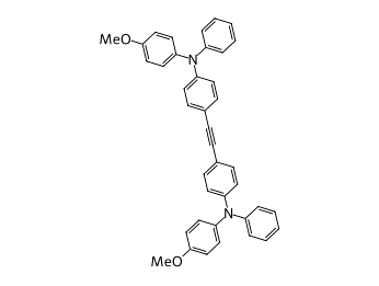 COc1ccc(N(c2ccccc2)c2ccc(C#Cc3ccc(N(c4ccccc4)c4ccc(OC)cc4)cc3)cc2)cc1